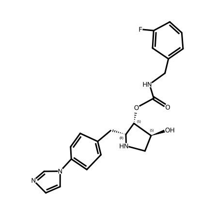 O=C(NCc1cccc(F)c1)O[C@@H]1[C@@H](O)CN[C@@H]1Cc1ccc(-n2ccnc2)cc1